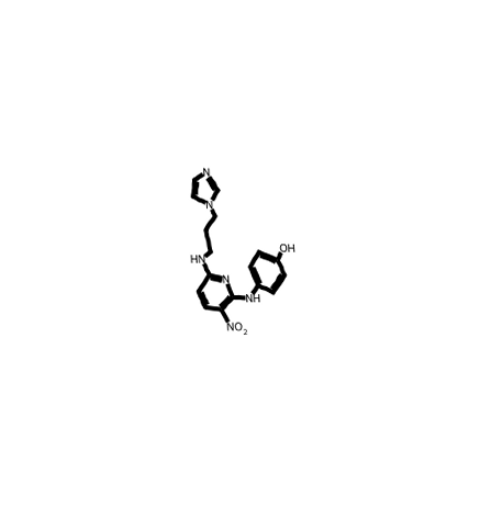 O=[N+]([O-])c1ccc(NCCCn2ccnc2)nc1Nc1ccc(O)cc1